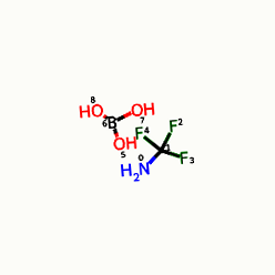 NC(F)(F)F.OB(O)O